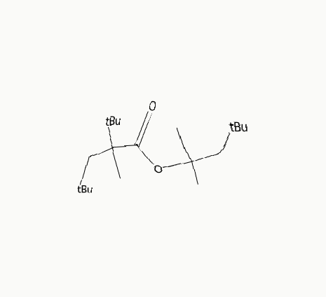 CC(C)(C)CC(C)(C)OC(=O)C(C)(CC(C)(C)C)C(C)(C)C